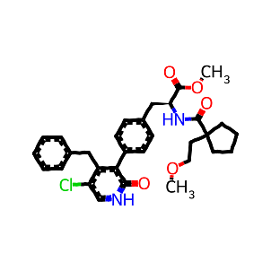 COCCC1(C(=O)N[C@@H](Cc2ccc(-c3c(Cc4ccccc4)c(Cl)c[nH]c3=O)cc2)C(=O)OC)CCCC1